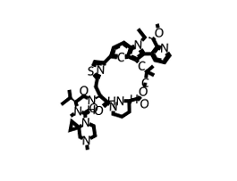 CCn1c(-c2cccnc2[C@H](C)OC)c2c3cc(ccc31)-c1csc(n1)C[C@H](NC(=O)[C@H](C(C)C)N(C)C(=O)N1CCN(C)CC13CC3)C(=O)N1CCC[C@H](N1)C(=O)OCC(C)(C)C2